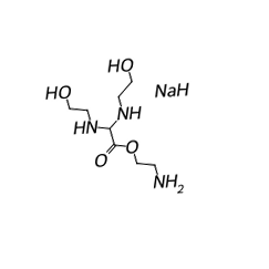 NCCOC(=O)C(NCCO)NCCO.[NaH]